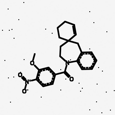 COc1cc(C(=O)N2CCC3(C=CCCC3)Cc3ccccc32)ccc1[N+](=O)[O-]